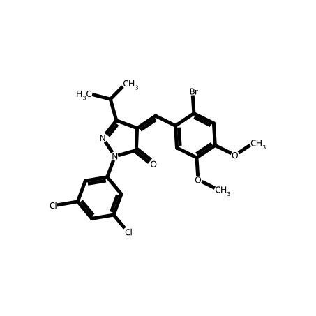 COc1cc(Br)c(C=C2C(=O)N(c3cc(Cl)cc(Cl)c3)N=C2C(C)C)cc1OC